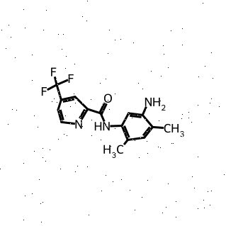 Cc1cc(C)c(NC(=O)c2cc(C(F)(F)F)ccn2)cc1N